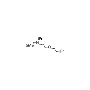 CSCN(CCCOCCCC(C)C)C(C)C